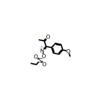 CCS(=O)(=O)O/N=C(/C(C)=O)c1ccc(OC)cc1